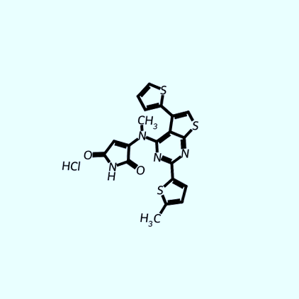 Cc1ccc(-c2nc(N(C)C3=CC(=O)NC3=O)c3c(-c4cccs4)csc3n2)s1.Cl